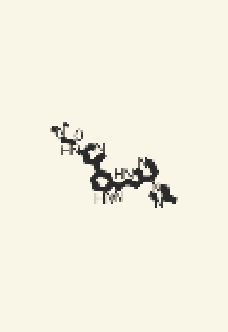 Cc1cn(-c2ccnc3[nH]c(-c4n[nH]c5ccc(-c6cncc(NC(=O)CN(C)C)c6)cc45)cc23)cn1